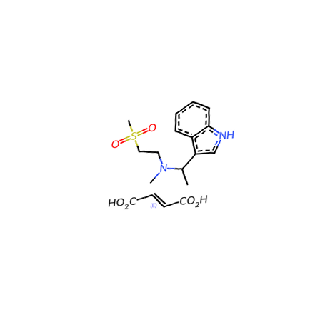 CC(c1c[nH]c2ccccc12)N(C)CCS(C)(=O)=O.O=C(O)/C=C/C(=O)O